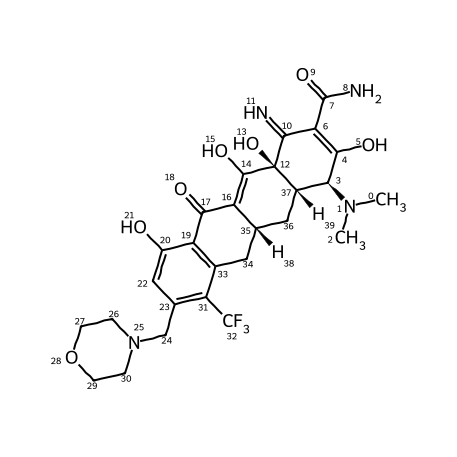 CN(C)[C@@H]1C(O)=C(C(N)=O)C(=N)[C@@]2(O)C(O)=C3C(=O)c4c(O)cc(CN5CCOCC5)c(C(F)(F)F)c4C[C@H]3C[C@@H]12